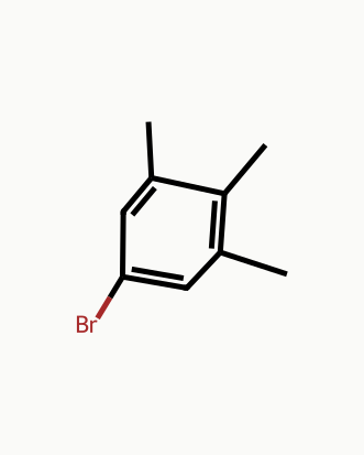 Cc1cc(Br)cc(C)c1C